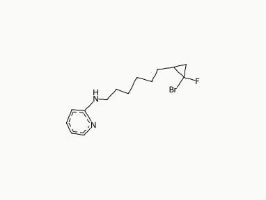 FC1(Br)CC1CCCCCCNc1ccccn1